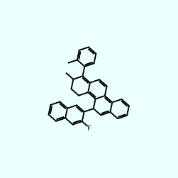 Cc1ccccc1C1=c2ccc3c(c2CCC1C)C(c1cc2ccccc2cc1F)C=c1ccccc1=3